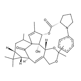 CC1=CC23C(=O)[C@@H](C=C4COC(C)(C)O[C@H]4[C@]2(O)[C@H]1OC(=O)[C@@H]1CCCN1c1ccccc1)[C@H]1[C@@H](CC3C)C1(C)C